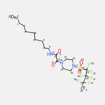 CCCCCCCCCCCCCCCCCCNC(=O)C(=O)N1CCN(S(=O)(=O)C(F)(F)C(F)(F)C(F)(F)C(F)(F)F)CC1